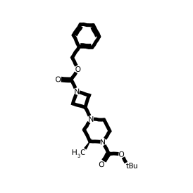 C[C@H]1CN(C2CN(C(=O)OCc3ccccc3)C2)CCN1C(=O)OC(C)(C)C